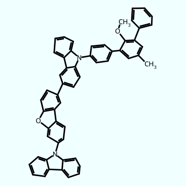 COc1c(-c2ccccc2)cc(C)cc1-c1ccc(-n2c3ccccc3c3cc(-c4ccc5oc6cc(-n7c8ccccc8c8ccccc87)ccc6c5c4)ccc32)cc1